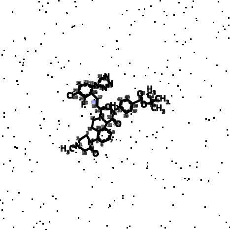 CN1CCN(c2cccc3c2CCN(C(=O)/C=C/c2c(-n4cnnn4)ccc(Cl)c2F)C3C(=O)Nc2ccc(C(=O)OC(C)(C)C)cc2)C(=O)C1